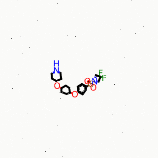 O=S(=O)(c1ccc(OC2CCC(OC3CCNCC3)CC2)cc1)N1CC(F)(F)C1